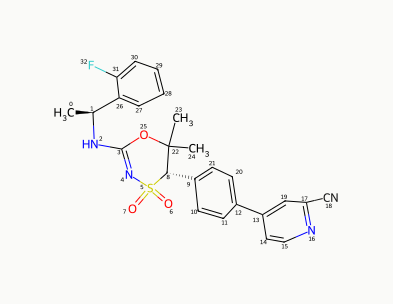 C[C@H](NC1=NS(=O)(=O)[C@@H](c2ccc(-c3ccnc(C#N)c3)cc2)C(C)(C)O1)c1ccccc1F